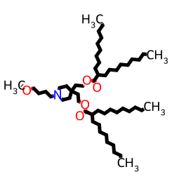 CCCCCCCCCC(CCCCCCCCC)C(=O)OCCC1(CCOC(=O)C(CCCCCCCCC)CCCCCCCCC)CCN(CCCCOC)CC1